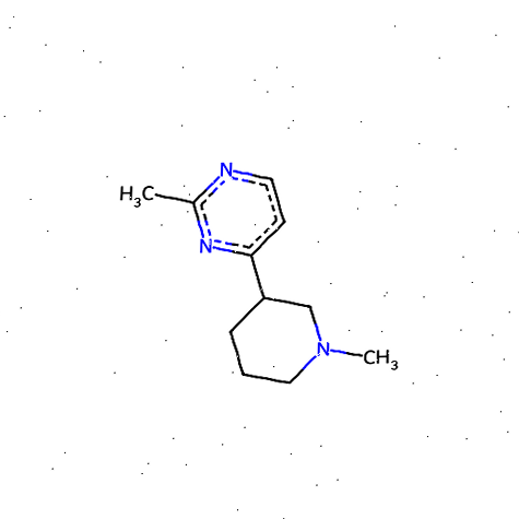 Cc1nccc(C2CCCN(C)C2)n1